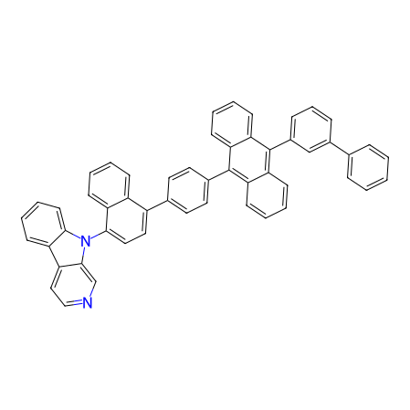 c1ccc(-c2cccc(-c3c4ccccc4c(-c4ccc(-c5ccc(-n6c7ccccc7c7ccncc76)c6ccccc56)cc4)c4ccccc34)c2)cc1